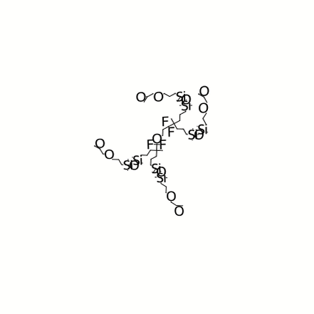 CC(CCC[Si](C)(C)O[Si](C)(C)CCCOCC1CO1)(CCC[Si](C)(C)O[Si](C)(C)CCCOCC1CO1)C(F)(F)CCOC(F)(F)C(C)(CCC[Si](C)(C)O[Si](C)(C)CCCOCC1CO1)CCC[Si](C)(C)O[Si](C)(C)CCCOCC1CO1